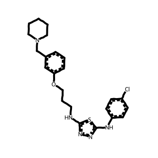 Clc1ccc(Nc2nnc(NCCCOc3cccc(CN4CCCCC4)c3)s2)cc1